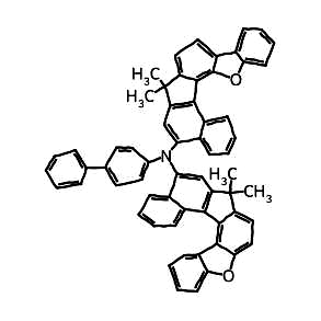 CC1(C)c2cc(N(c3ccc(-c4ccccc4)cc3)c3cc4c(c5ccccc35)-c3c(ccc5oc6ccccc6c35)C4(C)C)c3ccccc3c2-c2c1ccc1c2oc2ccccc21